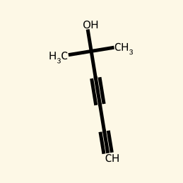 C#CC#CC(C)(C)O